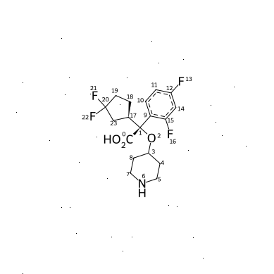 O=C(O)[C@](OC1CCNCC1)(c1ccc(F)cc1F)[C@@H]1CCC(F)(F)C1